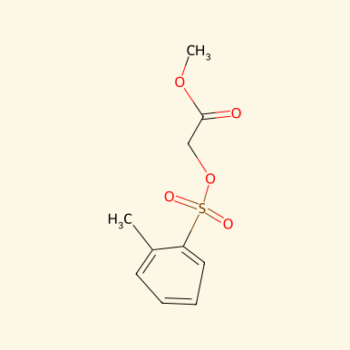 COC(=O)COS(=O)(=O)c1ccccc1C